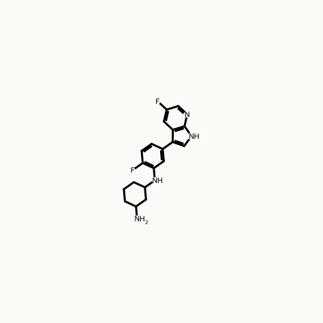 NC1CCCC(Nc2cc(-c3c[nH]c4ncc(F)cc34)ccc2F)C1